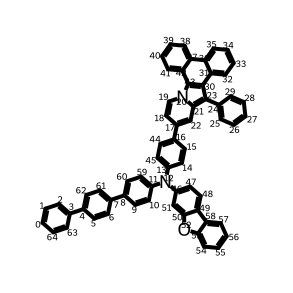 c1ccc(-c2ccc(-c3ccc(N(c4ccc(-c5ccn6c(c5)c(-c5ccccc5)c5c7ccccc7c7ccccc7c56)cc4)c4ccc5c(c4)oc4ccccc45)cc3)cc2)cc1